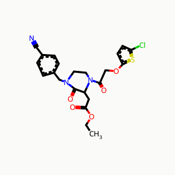 CCOC(=O)CC1C(=O)N(Cc2ccc(C#N)cc2)CCN1C(=O)COc1ccc(Cl)s1